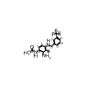 Nc1c(NC(=O)O)ccc(NCc2cccc(C(F)(F)F)c2)c1F